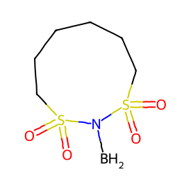 BN1S(=O)(=O)CCCCCCS1(=O)=O